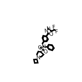 O=S(=O)(C1CCN(C2CCC2)CC1)N(Cc1ccc(-c2nnc(C(F)F)o2)cc1)c1ccccc1